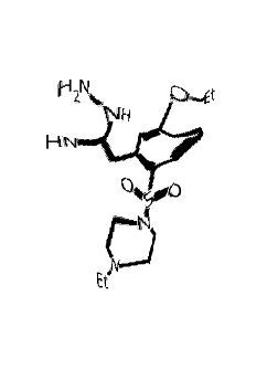 CCOc1ccc(S(=O)(=O)N2CCN(CC)CC2)c(CC(=N)NN)c1